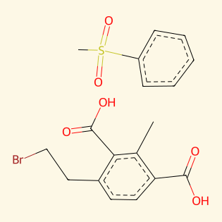 CS(=O)(=O)c1ccccc1.Cc1c(C(=O)O)ccc(CCBr)c1C(=O)O